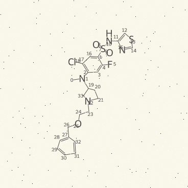 CN(c1cc(F)c(S(=O)(=O)Nc2cscn2)cc1Cl)C1CCN(CCOCc2ccccc2)C1